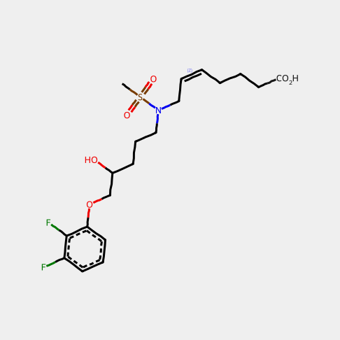 CS(=O)(=O)N(C/C=C\CCCC(=O)O)CCCC(O)COc1cccc(F)c1F